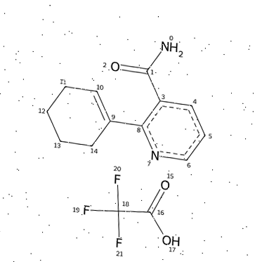 NC(=O)c1cccnc1C1=CCCCC1.O=C(O)C(F)(F)F